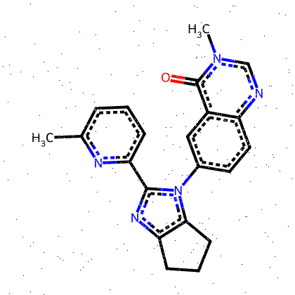 Cc1cccc(-c2nc3c(n2-c2ccc4ncn(C)c(=O)c4c2)CCC3)n1